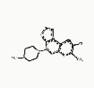 Cc1nc2nc(N3CCN(C)CC3)c3nncn3c2cc1Cl